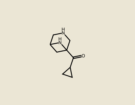 O=C(C1CC1)C12CNCC(C1)N2